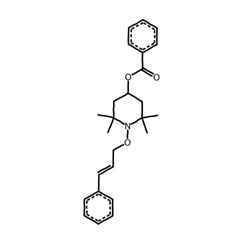 CC1(C)CC(OC(=O)c2ccccc2)CC(C)(C)N1OC/C=C/c1ccccc1